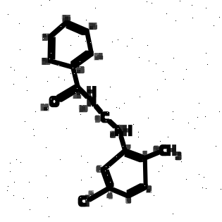 Cc1ccc(Cl)cc1NCNC(=O)c1ccccc1